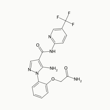 NC(=O)COc1ccccc1-n1ncc(C(=O)Nc2ccc(C(F)(F)F)cn2)c1N